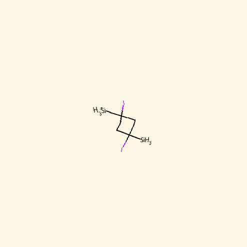 [SiH3]C1(I)CC([SiH3])(I)C1